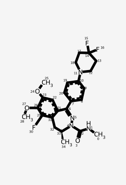 CNC(=O)N1N=C(c2ccc(N3CCC(F)(F)CC3)cc2)c2cc(OC)c(OC)c(F)c2C[C@@H]1C